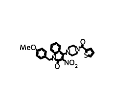 COc1ccc(Cn2c(=O)c([N+](=O)[O-])c(N3CCN(C(=O)c4cccs4)CC3)c3ccccc32)cc1